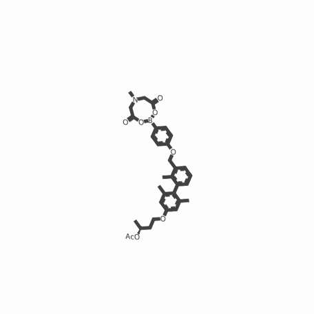 CC(=O)O[C@@H](C)CCOc1cc(C)c(-c2cccc(COc3ccc(B4OC(=O)CN(C)CC(=O)O4)cc3)c2C)c(C)c1